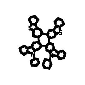 c1ccc(-n2c3ccccc3c3cc4c(cc32)-c2cc3c(cc2-c2cc5sc6ccccc6c5cc2-c2cc5c(cc2-4)sc2ccccc25)c2ccccc2n3-c2ccccc2)cc1